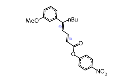 CCCC/C(=C\C=C\C(=O)Oc1ccc([N+](=O)[O-])cc1)c1cccc(OC)c1